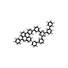 c1ccc(-c2cccc(-c3nc(-c4cccc(-c5ccccc5)c4)nc(-c4cccc(-c5ccc(-c6cccc7c(-c8ccccc8)nc8ccccc8c67)cc5)c4)n3)c2)cc1